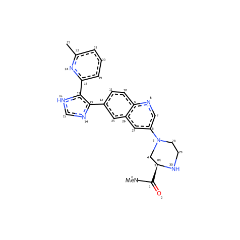 CNC(=O)[C@H]1CN(c2cnc3ccc(-c4nc[nH]c4-c4cccc(C)n4)cc3c2)CCN1